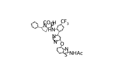 CC(=O)Nc1nc2c(Oc3cc(-c4ccc(C(F)(F)F)cc4NC(=O)C4CCC(c5ccccc5)N4C(=O)O)ncn3)cccc2s1